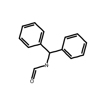 O=C[N]C(c1ccccc1)c1ccccc1